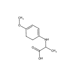 COC1=CC=C(NC(C)C(=O)O)CC1